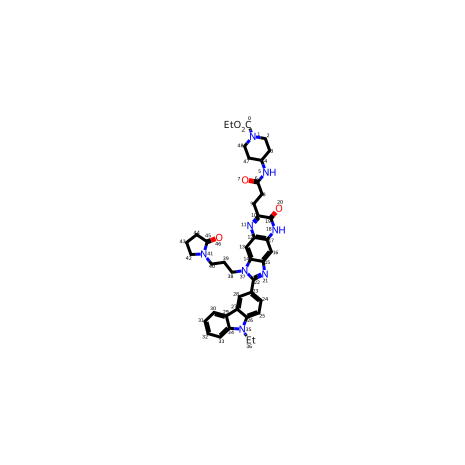 CCOC(=O)N1CCC(NC(=O)CCc2nc3cc4c(cc3[nH]c2=O)nc(-c2ccc3c(c2)c2ccccc2n3CC)n4CCCN2CCCC2=O)CC1